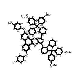 COc1ccc(C2(c3ccc(OC)cc3)c3ccccc3-c3c(-c4sc(-c5cccc6c5-c5ccccc5C6(c5ccc(OC)cc5)c5ccc(OC)cc5)c5nc6c7cc(Oc8ccc(C#N)cc8)ccc7c7ccc(Oc8ccc(C#N)cc8)cc7c6nc45)cccc32)cc1